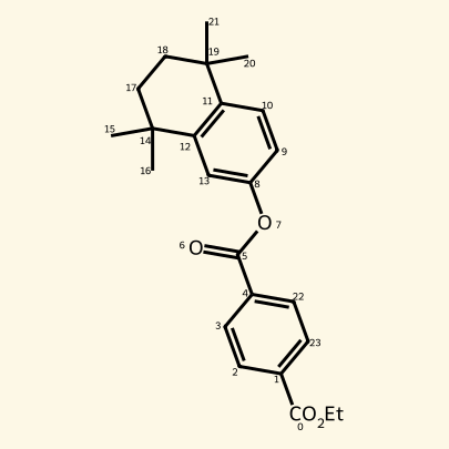 CCOC(=O)c1ccc(C(=O)Oc2ccc3c(c2)C(C)(C)CCC3(C)C)cc1